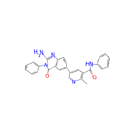 Cc1ncc(-c2ccc3nc(N)n(-c4ccccc4)c(=O)c3c2)cc1C(=O)Nc1ccccc1